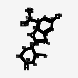 CCN(CC)c1cc(Cl)cc2nc(N3CCNCC3C)oc12